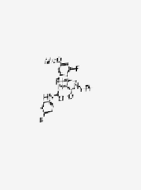 CCCN1C[C@@H](c2c(F)cc(OC)cc2F)[C@H](NC(=O)Nc2ccc(F)cc2)C1=O